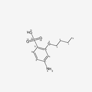 CCCCOc1cc(N)ccc1S(=O)(=O)O